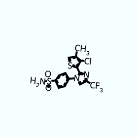 Cc1csc(-c2nc(C(F)(F)F)cn2-c2ccc(S(N)(=O)=O)cc2)c1Cl